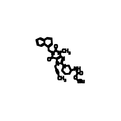 CC#CCn1c(N2CCCC(NC(=O)OC(C)(C)C)C2)nc2c1c(=O)n(Cc1cccc3ccccc13)c(=O)n2C